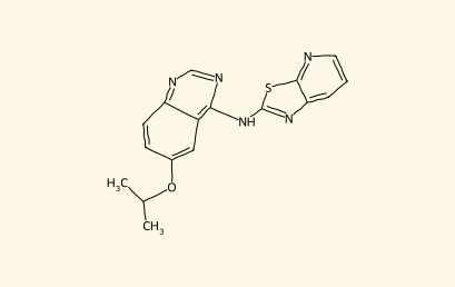 CC(C)Oc1ccc2ncnc(Nc3nc4cccnc4s3)c2c1